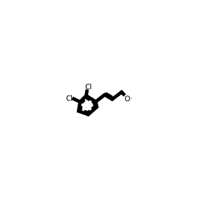 [O]CC=Cc1cccc(Cl)c1Cl